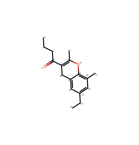 CCCC(=O)C1=C(C)Oc2c(C)cc(CC)cc2C1